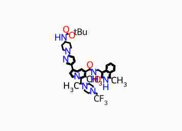 Cc1c(C(=O)NCc2c(=O)[nH]c(C)c3ccccc23)cc2c(-c3ccc(N4CCC(NC(=O)OC(C)(C)C)CC4)nc3)ccn2c1C(C)N1CCN(CC(F)(F)F)CC1